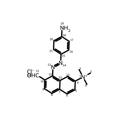 C[N+](C)(C)c1ccc2ccc(C=O)c(N=Nc3ccc(N)cc3)c2c1.[Cl-]